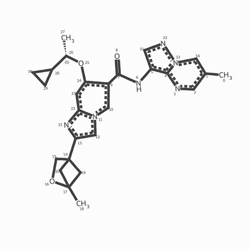 Cc1cnc2c(NC(=O)c3cn4cc(C56COC(C)(C5)C6)nc4cc3O[C@@H](C)C3CC3)cnn2c1